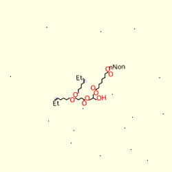 CC/C=C\CCCCOC(CCC(=O)OCC(CO)COC(=O)CCCCCCC(=O)OCCCCCCCCC)OCCCC/C=C\CC